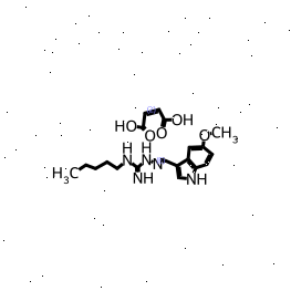 CCCCCNC(=N)N/N=C/c1c[nH]c2ccc(OC)cc12.O=C(O)/C=C\C(=O)O